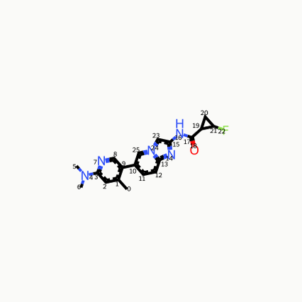 Cc1cc(N(C)C)ncc1-c1ccc2nc(NC(=O)C3CC3F)cn2c1